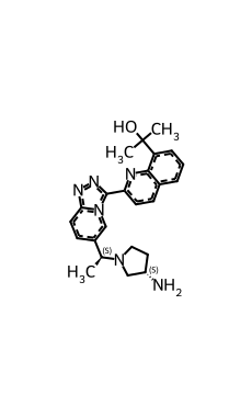 C[C@@H](c1ccc2nnc(-c3ccc4cccc(C(C)(C)O)c4n3)n2c1)N1CC[C@H](N)C1